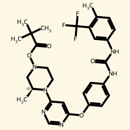 Cc1ccc(NC(=O)Nc2ccc(Oc3cc(N4CCN(OC(=O)C(C)(C)C)C[C@@H]4C)ncn3)cc2)cc1C(F)(F)F